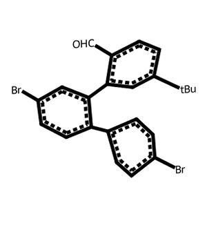 CC(C)(C)c1ccc(C=O)c(-c2cc(Br)ccc2-c2ccc(Br)cc2)c1